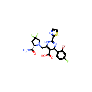 NC(=O)[C@@H]1CC(F)(F)CN1CC1=C(C(=O)O)C(c2ccc(F)cc2Br)N=C(c2nccs2)N1